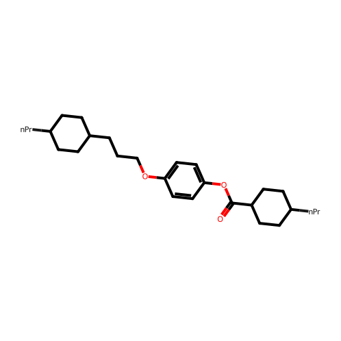 CCCC1CCC(CCCOc2ccc(OC(=O)C3CCC(CCC)CC3)cc2)CC1